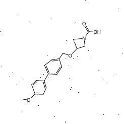 COc1ccc(-c2ccc(COC3CN(C(=O)O)C3)cc2)cc1